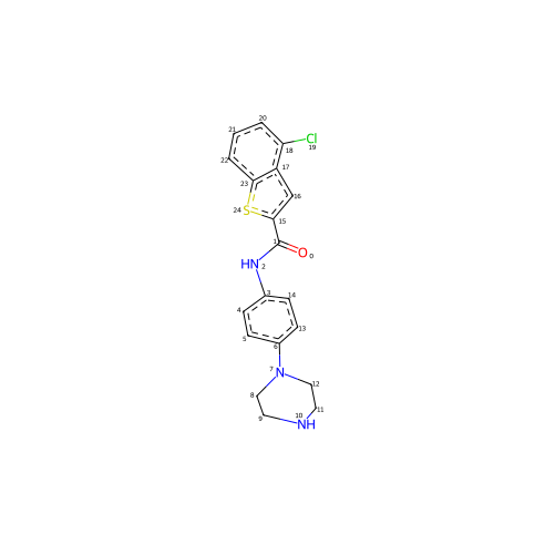 O=C(Nc1ccc(N2CCNCC2)cc1)c1cc2c(Cl)cccc2s1